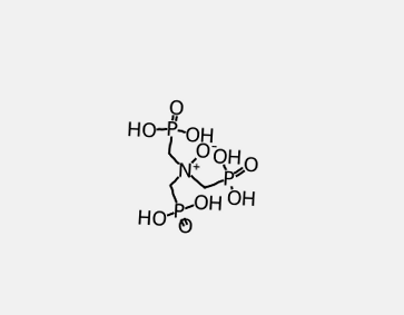 O=P(O)(O)C[N+]([O-])(CP(=O)(O)O)CP(=O)(O)O